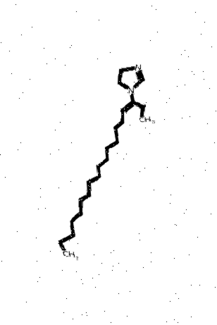 CCCCCCCCCCCCCCC/C=C(\CC)N1C=NCC1